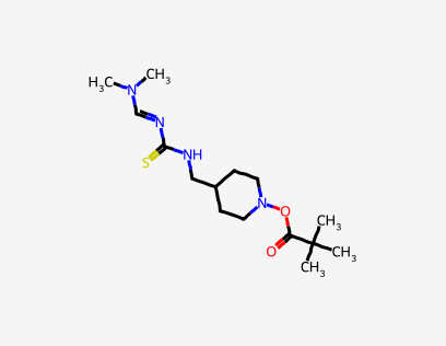 CN(C)C=NC(=S)NCC1CCN(OC(=O)C(C)(C)C)CC1